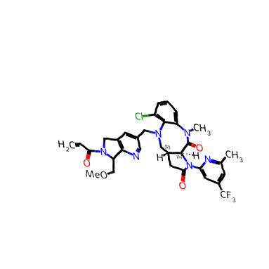 C=CC(=O)N1Cc2cc(CN3C[C@H]4CC(=O)N(c5cc(C(F)(F)F)cc(C)n5)[C@@H]4C(=O)N(C)c4cccc(Cl)c43)cnc2C1COC